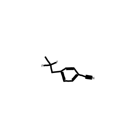 CC(F)(F)Cc1ccc(C#N)cc1